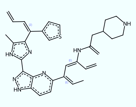 C=C/C=C(/c1ccsc1)c1nc(-c2n[nH]c3ccc(C(/C=C(\C=C)NC(=C)CC4CCNCC4)=C/C)nc23)[nH]c1C